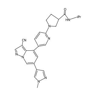 CC(C)NC(=O)C1CCN(c2ccc(-c3cc(-c4cnn(C)c4)cn4ncc(C#N)c34)cn2)C1